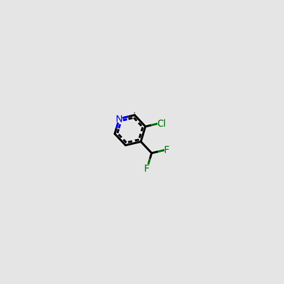 FC(F)c1ccn[c]c1Cl